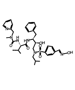 CC(C)CN(C[C@H](O)[C@H](Cc1ccccc1)NC(=O)[C@@H](NC(=O)N(C)Cc1ccccn1)C(C)C)S(=O)(=O)c1ccc(C=NO)cc1